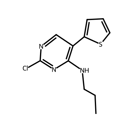 CCCNc1nc(Cl)ncc1-c1cccs1